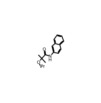 CC(C)OC(C)(C)C(=O)Nc1ccc2ccccc2c1